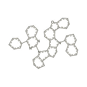 c1ccc(-c2nc(-n3c4ccccc4c4ccc5c(c6ccc7oc8ccccc8c7c6n5-c5cccc6ccccc56)c43)nc3ccccc23)cc1